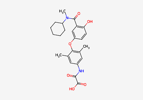 Cc1cc(NC(=O)C(=O)O)cc(C)c1Oc1ccc(O)c(C(=O)N(C)C2CCCCC2)c1